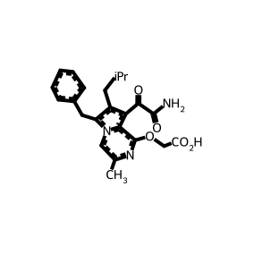 Cc1cn2c(Cc3ccccc3)c(CC(C)C)c(C(=O)C(N)=O)c2c(OCC(=O)O)n1